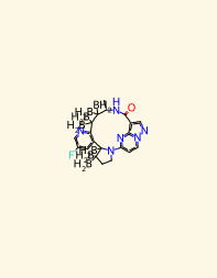 BC1(B)CCN2c3ccn4ncc(c4n3)C(=O)N[C@H](C)C(B)(B)C(B)(B)c3ncc(F)cc3C21B